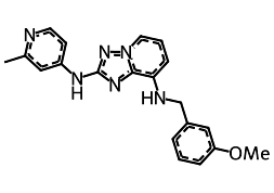 COc1cccc(CNc2cccn3nc(Nc4ccnc(C)c4)nc23)c1